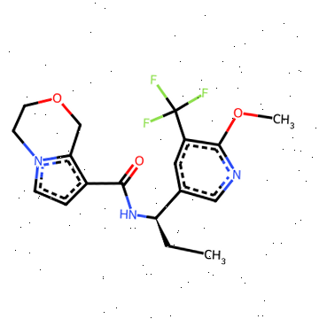 CC[C@@H](NC(=O)c1ccn2c1COCC2)c1cnc(OC)c(C(F)(F)F)c1